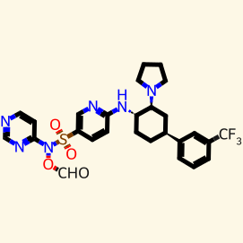 O=CON(c1ccncn1)S(=O)(=O)c1ccc(N[C@H]2CC[C@H](c3cccc(C(F)(F)F)c3)C[C@@H]2N2CCCC2)nc1